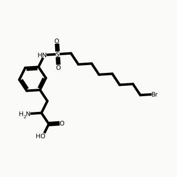 NC(Cc1cccc(NS(=O)(=O)CCCCCCCCBr)c1)C(=O)O